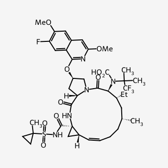 CC[C@@H]1C[C@H](C)CCC=C[C@@H]2C[C@@]2(C(=O)NS(=O)(=O)C2(C)CC2)NC(=O)[C@@H]2C[C@@H](Oc3nc(OC)cc4cc(OC)c(F)cc34)CN2C(=O)[C@H]1N(C(=O)O)C(C)(C)C(F)(F)F